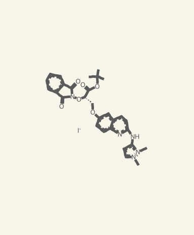 Cn1c(Nc2ccc3cc(OC[C@H](ON4C(=O)c5ccccc5C4=O)C(=O)OC(C)(C)C)ccc3n2)cc[n+]1C.[I-]